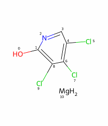 Oc1ncc(Cl)c(Cl)c1Cl.[MgH2]